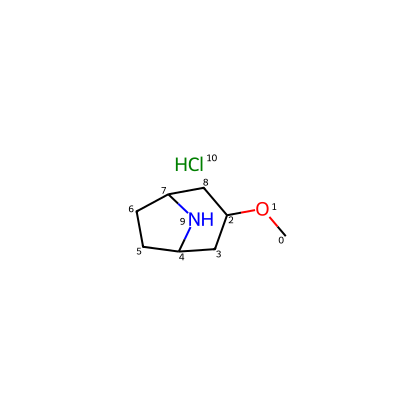 COC1CC2CCC(C1)N2.Cl